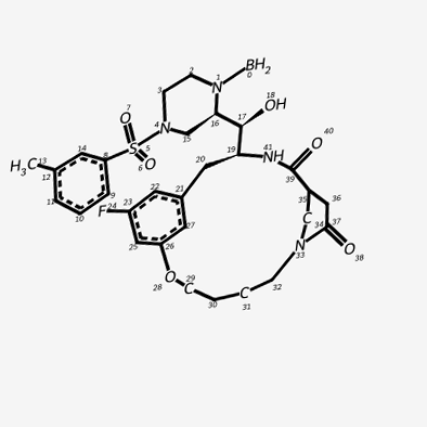 BN1CCN(S(=O)(=O)c2cccc(C)c2)C[C@@H]1[C@@H](O)[C@@H]1Cc2cc(F)cc(c2)OCCCCN2CC(CC2=O)C(=O)N1